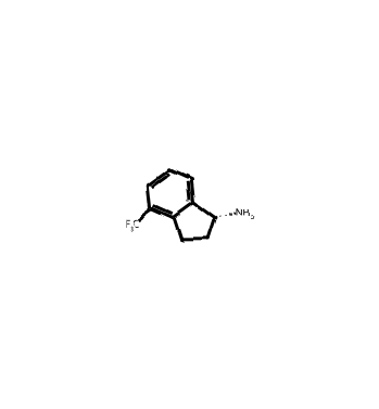 N[C@@H]1CCc2c1cccc2C(F)(F)F